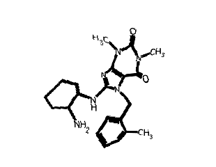 Cc1ccccc1Cn1c(NC2CCCCC2N)nc2c1c(=O)n(C)c(=O)n2C